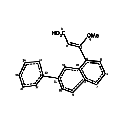 COC(=CC(=O)O)c1cccc2ccc(-c3ccccc3)cc12